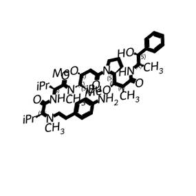 CC[C@H](C)[C@@H]([C@@H](CC(=O)N1CCC[C@H]1[C@H](OC)[C@@H](C)C(=O)N[C@H](C)[C@@H](O)c1ccccc1)OC)N(C)C(=O)[C@@H](NC(=O)[C@H](C(C)C)N(C)CCc1ccc(N)cc1)C(C)C